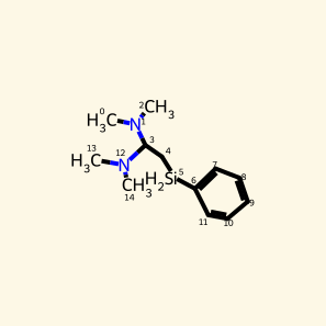 CN(C)C(C[SiH2]c1ccccc1)N(C)C